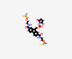 O=C(OCC1c2cc(C(=O)NCCOSPF)ccc2-c2ccc(C(=O)NCCOP(F)S)cc21)ON1C(=O)CCC1=O